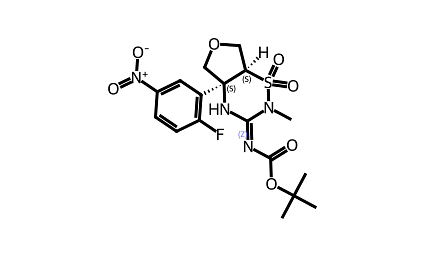 CN1/C(=N\C(=O)OC(C)(C)C)N[C@@]2(c3cc([N+](=O)[O-])ccc3F)COC[C@H]2S1(=O)=O